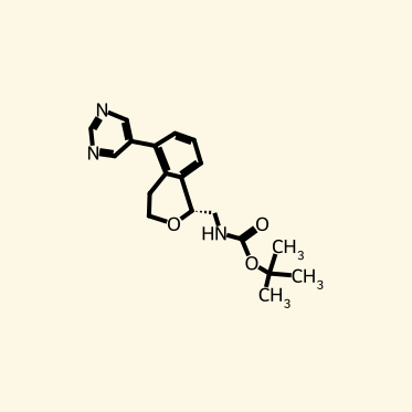 CC(C)(C)OC(=O)NC[C@@H]1OCCc2c(-c3cncnc3)cccc21